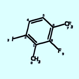 Cc1c(I)ccc(C(F)(F)F)c1F